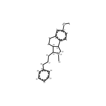 COc1ccc2c(c1)CCC1C2CN(C)C1CCCc1ccccc1